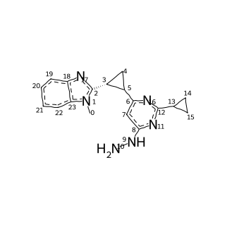 Cn1c([C@@H]2CC2c2cc(NN)nc(C3CC3)n2)nc2ccccc21